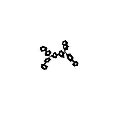 c1ccc(-c2ccc(N(c3ccc(-c4ccccc4)cc3)c3ccc(-c4ccc(N(c5ccc(-c6ccccc6)cc5)c5ccc6ccccc6c5)cc4)cc3)cc2)cc1